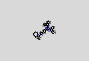 C=C1/C=C\C=C/C/C=C\c2c1c1ccccc1n2-c1ccc(-c2ccc(-c3nc(-c4cc5ccccc5c5ccccc45)nc(-c4cc5ccccc5c5ccccc45)n3)cc2)cc1